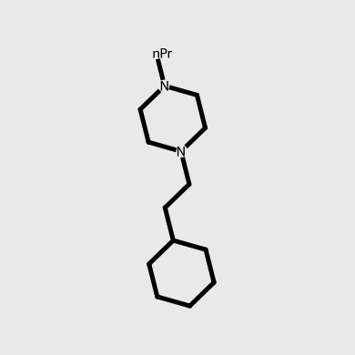 CCCN1CCN(CCC2CCCCC2)CC1